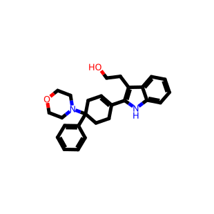 OCCc1c(C2=CCC(c3ccccc3)(N3CCOCC3)CC2)[nH]c2ccccc12